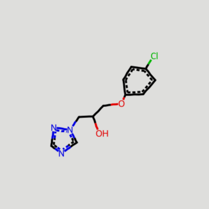 OC(COc1ccc(Cl)cc1)Cn1cncn1